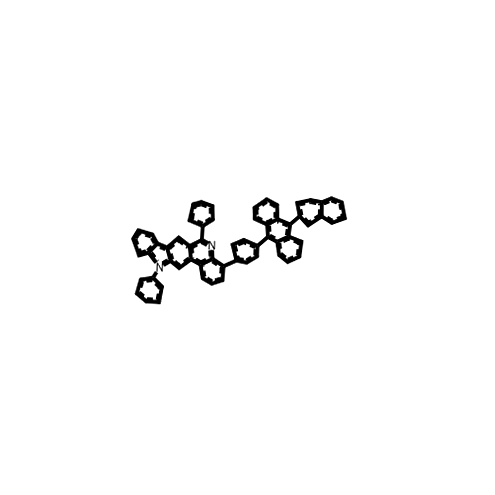 c1ccc(-c2nc3c(-c4ccc(-c5c6ccccc6c(-c6ccc7ccccc7c6)c6ccccc56)cc4)cccc3c3cc4c(cc23)c2ccccc2n4-c2ccccc2)cc1